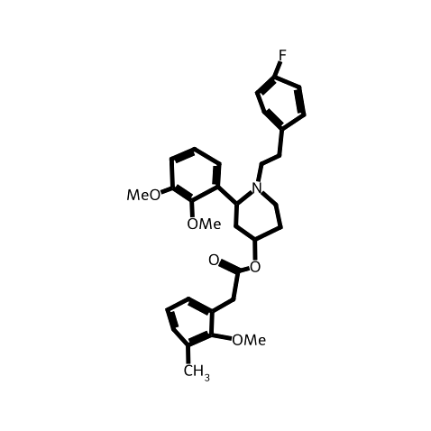 COc1cccc(C2CC(OC(=O)Cc3cccc(C)c3OC)CCN2CCc2ccc(F)cc2)c1OC